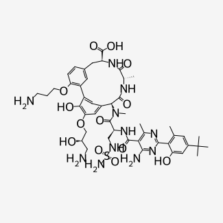 Cc1cc(C(C)(C)C)cc(O)c1-c1nc(C)c(C(=O)N[C@@H](CNS(N)(=O)=O)C(=O)N(C)[C@@H]2C(=O)N[C@@H](C)C(=O)N[C@H](C(=O)O)Cc3ccc(OCCCN)c(c3)-c3cc2cc(OC[C@H](O)CN)c3O)c(N)n1